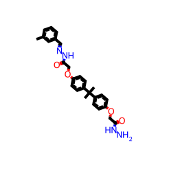 Cc1cccc(C=NNC(=O)COc2ccc(C(C)(C)c3ccc(OCC(=O)NN)cc3)cc2)c1